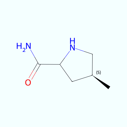 C[C@@H]1CNC(C(N)=O)C1